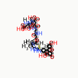 CC(CCNC(=S)Nc1ccc(-c2c3ccc(=O)cc-3oc3cc(O)ccc23)c(C(=O)O)c1)N(C)CC(C)(C)OCCC(=O)NCCNC(=O)CCC(C(=O)O)N(C)C(=O)N[C@@H](CCC(=O)O)C(=O)O